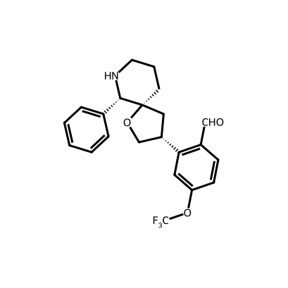 O=Cc1ccc(OC(F)(F)F)cc1[C@@H]1CO[C@]2(CCCN[C@H]2c2ccccc2)C1